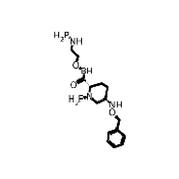 O=C(BOCCNP)[C@@H]1CC[C@@H](NOCc2ccccc2)CN1P